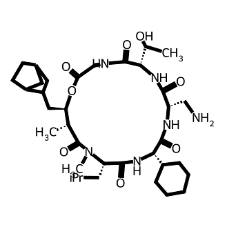 CC(C)C[C@H]1C(=O)N[C@@H](C2CCCCC2)C(=O)N[C@@H](CN)C(=O)N[C@@H](C(C)O)C(=O)NCC(=O)O[C@H](CC2CC3CCC2C3)[C@@H](C)C(=O)N1C